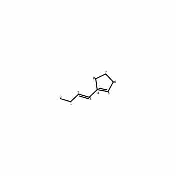 CCC=CC1=CCCC1